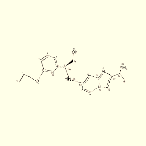 CCOc1cccc([C@@H](CO)Nc2ccn3cc(C(C)N)nc3c2)n1